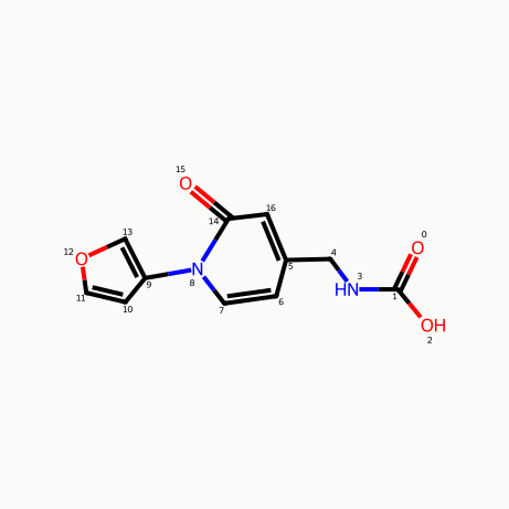 O=C(O)NCc1ccn(-c2ccoc2)c(=O)c1